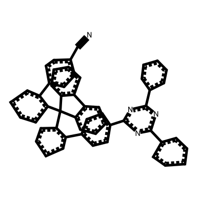 N#Cc1ccc(-c2ccccc2C2(c3ccccc3-c3ccc(-c4nc(-c5ccccc5)nc(-c5ccccc5)n4)cc3)c3ccccc3-c3ccccc32)cc1